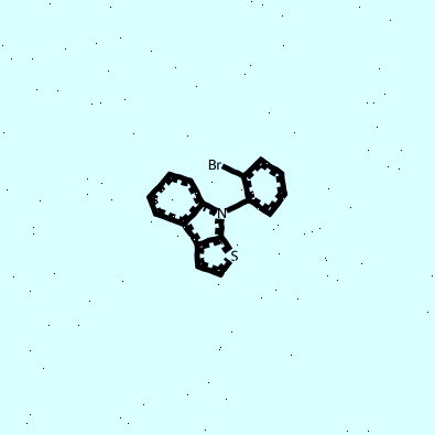 Brc1ccccc1-n1c2ccccc2c2ccsc21